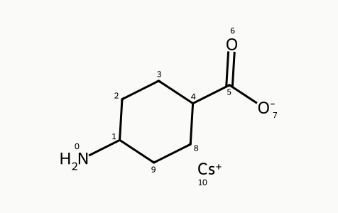 NC1CCC(C(=O)[O-])CC1.[Cs+]